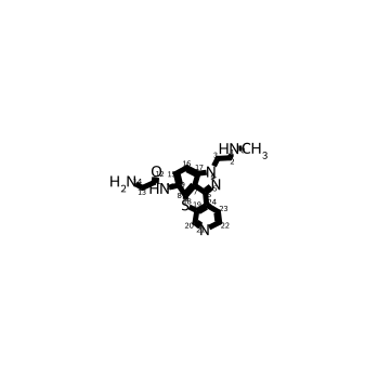 CNCCn1nc2c3c(c(NC(=O)CN)ccc31)Sc1cnccc1-2